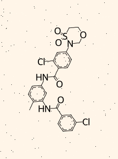 Cc1ccc(NC(=O)c2ccc(N3COCCS3(=O)=O)cc2Cl)cc1NC(=O)c1cccc(Cl)c1